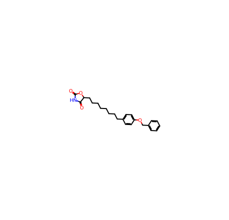 O=C1NC(=O)C(CCCCCCCCc2ccc(OCc3ccccc3)cc2)O1